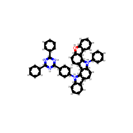 c1ccc(-c2nc(-c3ccccc3)nc(-c3ccc(-n4c5ccccc5c5ccc6c(c7ccc8oc9ccccc9c8c7n6-c6ccccc6)c54)cc3)n2)cc1